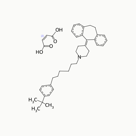 CC(C)(C)c1ccc(CCCCCCN2CCC(=C3c4ccccc4CCc4ccccc43)CC2)cc1.O=C(O)/C=C\C(=O)O